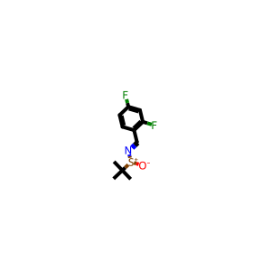 CC(C)(C)[S+]([O-])N=Cc1ccc(F)cc1F